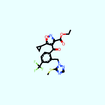 CCOC(=O)c1noc(C2CC2)c1C(=O)c1ccc(C(F)(F)F)cc1Cn1ncnc1SC